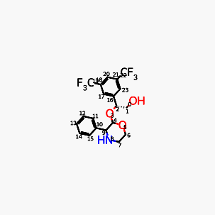 OC[C@H](OC1OCCNC1c1ccccc1)c1cc(C(F)(F)F)cc(C(F)(F)F)c1